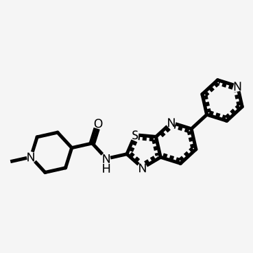 CN1CCC(C(=O)Nc2nc3ccc(-c4ccncc4)nc3s2)CC1